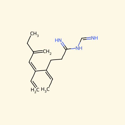 C=CC(=C/C(=C)CC)/C(=C\C)CCC(=N)NC=N